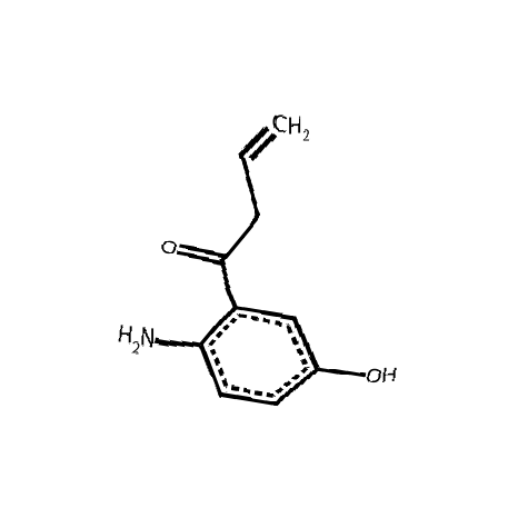 C=CCC(=O)c1cc(O)ccc1N